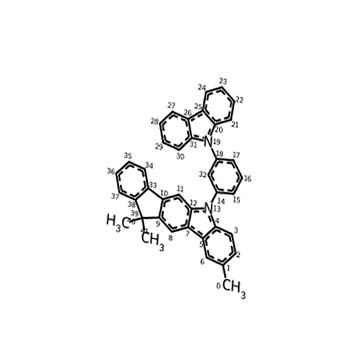 Cc1ccc2c(c1)c1cc3c(cc1n2-c1cccc(-n2c4ccccc4c4ccccc42)c1)-c1ccccc1C3(C)C